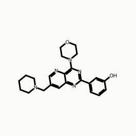 Oc1cccc(-c2nc(N3CCOCC3)c3ncc(CN4CCCCC4)cc3n2)c1